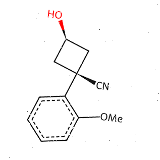 COc1ccccc1[C@]1(C#N)C[C@@H](O)C1